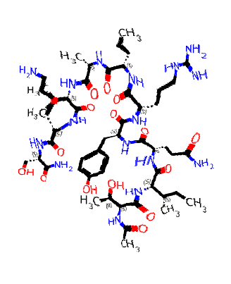 CCC[C@H](NC(=O)[C@H](CCCNC(=N)N)NC(=O)[C@H](Cc1ccc(O)cc1)NC(=O)[C@H](CCC(N)=O)NC(=O)[C@@H](NC(=O)[C@@H](NC(C)=O)[C@@H](C)O)[C@@H](C)CC)C(=O)N[C@@H](C)C(=O)N[C@H](C(=O)N[C@@H](CCCCN)C(=O)N[C@@H](CO)C(N)=O)C(C)C